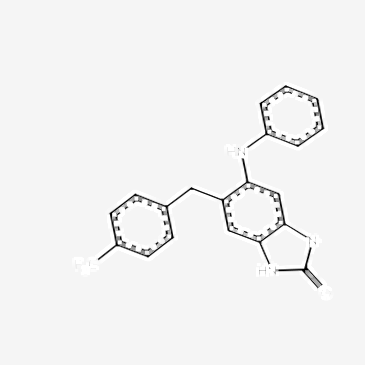 O=C1[N]c2cc(Nc3ccccc3)c(Cc3ccc(C(F)(F)F)cc3)cc2N1